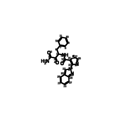 NC(=O)C(=O)C(Cc1ccccc1)NC(=O)c1scnc1-n1cc2ccccc2n1